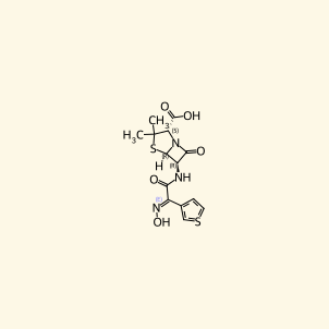 CC1(C)S[C@@H]2[C@H](NC(=O)/C(=N/O)c3ccsc3)C(=O)N2[C@H]1C(=O)O